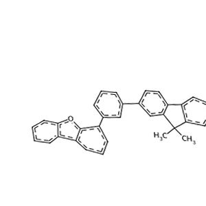 CC1(C)c2ccccc2-c2ccc(-c3cccc(-c4cccc5c4oc4ccccc45)c3)cc21